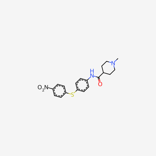 CN1CCC(C(=O)Nc2ccc(Sc3ccc([N+](=O)[O-])cc3)cc2)CC1